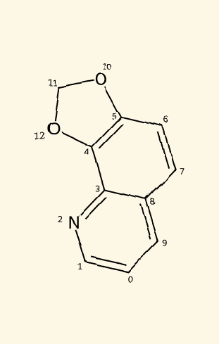 c1cnc2c3c(ccc2c1)OCO3